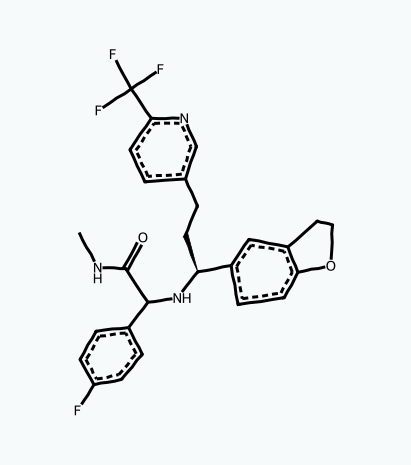 CNC(=O)C(N[C@@H](CCc1ccc(C(F)(F)F)nc1)c1ccc2c(c1)CCO2)c1ccc(F)cc1